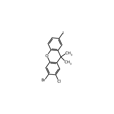 CC1(C)c2cc(I)ccc2Oc2cc(Br)c(Cl)cc21